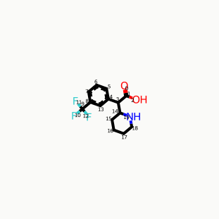 O=C(O)C(c1cccc(C(F)(F)F)c1)C1CCCCN1